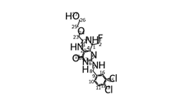 N=C(CF)c1nc(NCc2ccc(Cl)c(Cl)c2)[nH]c(=O)c1NCCOCCO